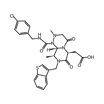 C[C@H]1[C@H]2N(C(=O)CN(C)N2C(=O)NCc2ccc(Cl)cc2)[C@@H](CC(=O)O)C(=O)N1Cc1csc2ccccc12